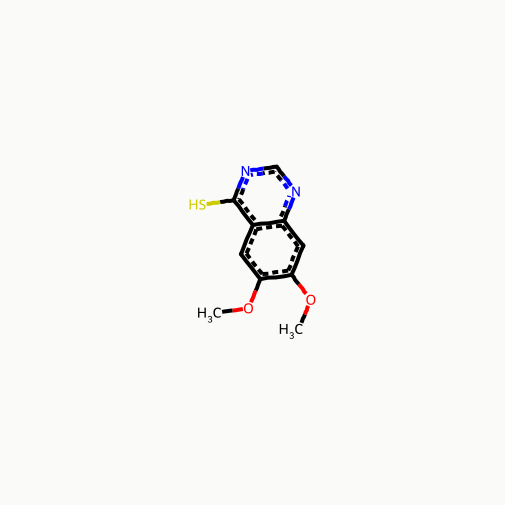 COc1cc2ncnc(S)c2cc1OC